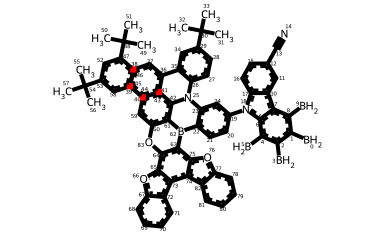 Bc1c(B)c(B)c2c(c1B)c1cc(C#N)ccc1n2-c1ccc2c(c1)N(c1ccc(C(C)(C)C)cc1-c1ccccc1)c1cc(-c3cc(C(C)(C)C)cc(C(C)(C)C)c3)cc3c1B2c1c(c2oc4ccccc4c2c2c1oc1ccccc12)O3